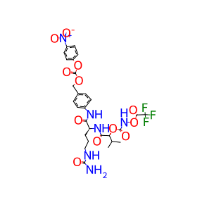 CC(C)[C@H](OC(=O)NOC(=O)C(F)(F)F)C(=O)N[C@@H](CCCNC(N)=O)C(=O)Nc1ccc(COC(=O)Oc2ccc([N+](=O)[O-])cc2)cc1